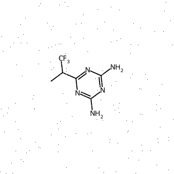 CC(c1nc(N)nc(N)n1)C(F)(F)F